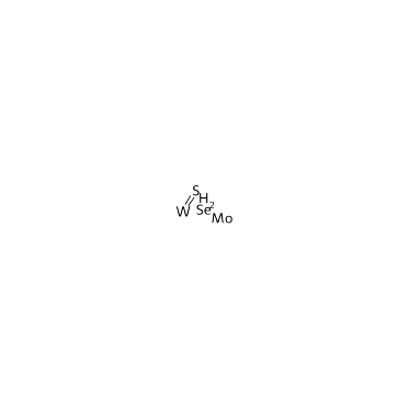 [Mo].[S]=[W].[SeH2]